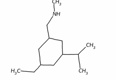 CCC1CC(CNC)CC(C(C)C)C1